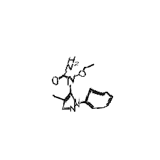 CCON(C(N)=O)c1c(C)cnn1-c1ccccc1